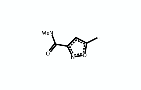 [CH]c1cc(C(=O)NC)no1